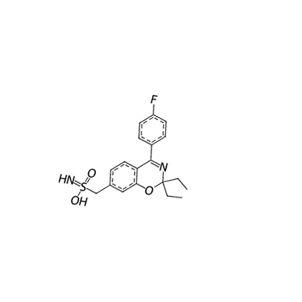 CCC1(CC)N=C(c2ccc(F)cc2)c2ccc(CS(=N)(=O)O)cc2O1